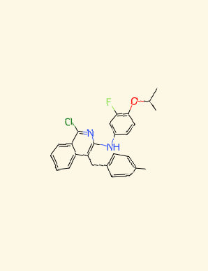 Cc1ccc(Cc2c(Nc3ccc(OC(C)C)c(F)c3)nc(Cl)c3ccccc23)cc1